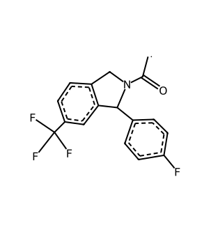 [CH2]C(=O)N1Cc2ccc(C(F)(F)F)cc2C1c1ccc(F)cc1